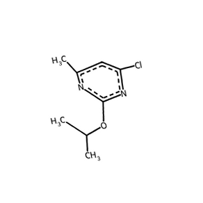 Cc1cc(Cl)nc(OC(C)C)n1